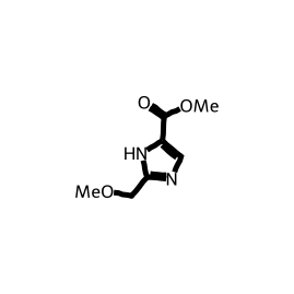 COCc1ncc(C(=O)OC)[nH]1